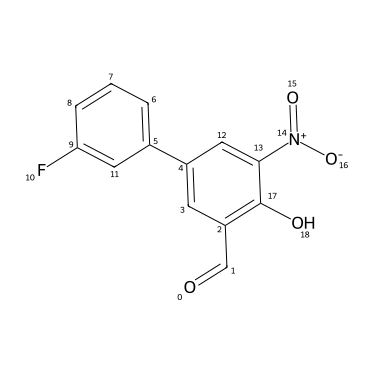 O=Cc1cc(-c2cccc(F)c2)cc([N+](=O)[O-])c1O